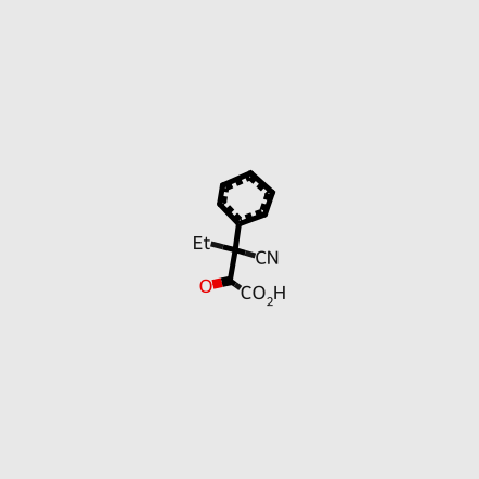 CCC(C#N)(C(=O)C(=O)O)c1ccccc1